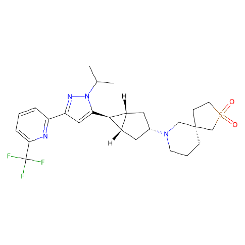 CC(C)n1nc(-c2cccc(C(F)(F)F)n2)cc1[C@H]1[C@@H]2C[C@H](N3CCC[C@@]4(CCS(=O)(=O)C4)C3)C[C@@H]21